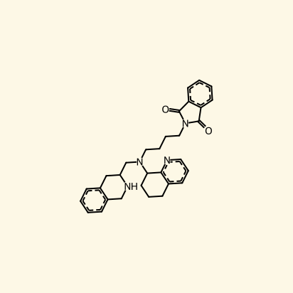 O=C1c2ccccc2C(=O)N1CCCCN(CC1Cc2ccccc2CN1)C1CCCc2cccnc21